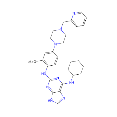 COc1cc(N2CCN(Cc3ccccn3)CC2)ccc1Nc1nc(NC2CCCCC2)c2nc[nH]c2n1